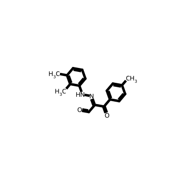 Cc1ccc(C(=O)C(C=O)=NNc2cccc(C)c2C)cc1